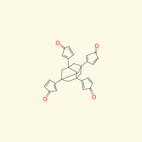 O=C1C=CC(C23CC4(C5=CC(=O)C=C5)CC(C5=CC(=O)C=C5)(C2)CC(C2=CC(=O)C=C2)(C3)C4)=C1